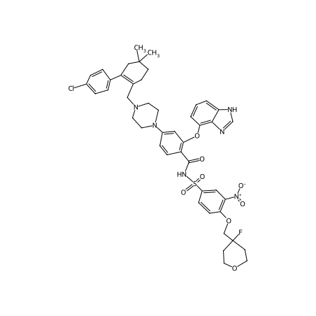 CC1(C)CCC(CN2CCN(c3ccc(C(=O)NS(=O)(=O)c4ccc(OCC5(F)CCOCC5)c([N+](=O)[O-])c4)c(Oc4cccc5[nH]cnc45)c3)CC2)=C(c2ccc(Cl)cc2)C1